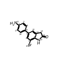 Nc1ccc(-c2cc(Br)c3c(c2)CC(=O)N3)cc1